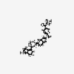 CN(c1ncc(C(=O)NO)cn1)c1cc2nc(N3CCOC(c4cccc5[nH]ncc45)C3)ncc2s1